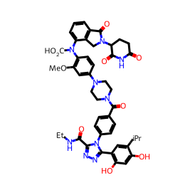 CCNC(=O)c1nnc(-c2cc(C(C)C)c(O)cc2O)n1-c1ccc(C(=O)N2CCN(c3ccc(N(C(=O)O)c4cccc5c4CN(C4CCC(=O)NC4=O)C5=O)c(OC)c3)CC2)cc1